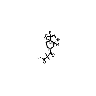 CC(C)(C(=O)O)C(=O)N1CC[C@H]2[C@@H](C1)NCC2(F)F